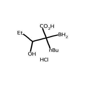 BC(CCCC)(C(=O)O)C(O)CC.Cl